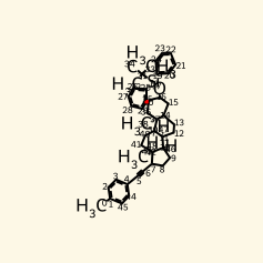 Cc1ccc(C#CC2CC[C@H]3[C@@H]4CCC5CC(O[Si](c6ccccc6)(c6ccccc6)C(C)(C)C)CC[C@]5(C)[C@@H]4CC[C@]23C)cc1